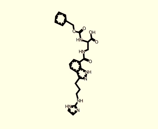 O=C(NC(CNC(=O)c1cccc2c(CCCNc3ncc[nH]3)n[nH]c12)C(=O)O)OCc1ccccc1